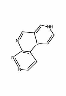 C1=CN2C(=CN1)C=Nc1nnccc12